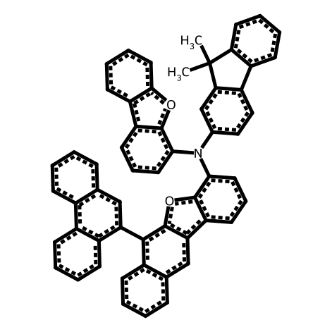 CC1(C)c2ccccc2-c2ccc(N(c3cccc4c3oc3ccccc34)c3cccc4c3oc3c(-c5cc6ccccc6c6ccccc56)c5ccccc5cc34)cc21